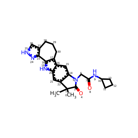 CC1(C)C(=O)N(CC(=O)NC2CCC2)c2cc3c4c([nH]c3cc21)-c1n[nH]cc1CCC4